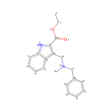 CCOC(=O)c1[nH]c2ccccc2c1CN(C)Cc1ccccc1